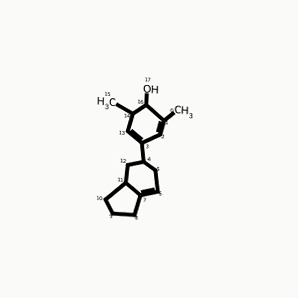 CC1=CC(C2CC=C3CCCC3C2)=CC(C)C1O